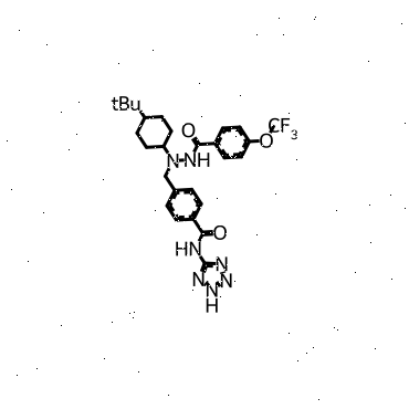 CC(C)(C)C1CCC(N(Cc2ccc(C(=O)Nc3nn[nH]n3)cc2)NC(=O)c2ccc(OC(F)(F)F)cc2)CC1